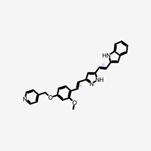 COc1cc(OCc2ccncc2)ccc1/C=C/c1cc(/C=C/c2cc3ccccc3[nH]2)[nH]n1